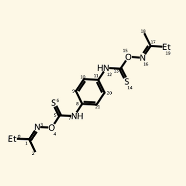 CCC(C)=NOC(=S)Nc1ccc(NC(=S)ON=C(C)CC)cc1